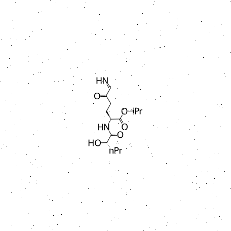 CCC[C@H](O)C(=O)N[C@@H](CCC(=O)C=N)C(=O)OC(C)C